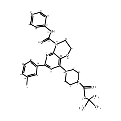 CC(C)(C)OC(=O)N1CCN(c2nc(-c3cccc(F)c3)nc3c2OCCN3C(=O)Nc2ccncc2)CC1